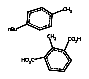 CCCCc1ccc(C)cc1.Cc1c(C(=O)O)cccc1C(=O)O